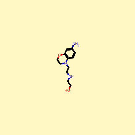 Nc1ccc2c(c1)OCCN2CCNCCO